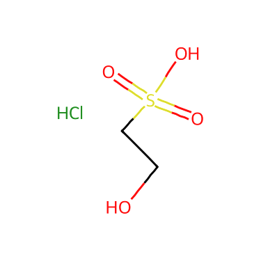 Cl.O=S(=O)(O)CCO